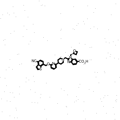 N#Cc1ccc(COc2cccc(C3CCN(Cc4nc5ccc(C(=O)O)cc5n4C[C@@H]4CCO4)CC3)n2)c2sccc12